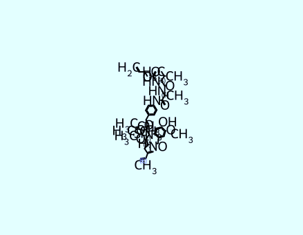 C=CCOC(=O)N[C@H](C(=O)N[C@@H](C)C(=O)Nc1ccc(COC(=O)N2c3cc(O)c(OC)cc3C(=O)N3C=C(/C=C/C)C[C@H]3[C@@H]2O[Si](C)(C)C(C)(C)C)cc1)C(C)C